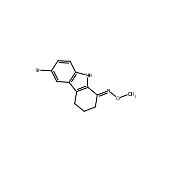 CO/N=C1\CCCc2c1[nH]c1ccc(Br)cc21